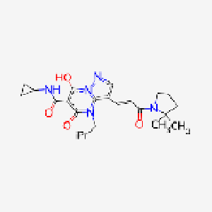 CC(C)Cn1c(=O)c(C(=O)NC2CC2)c(O)n2ncc(C=CC(=O)N3CCCC3(C)C)c12